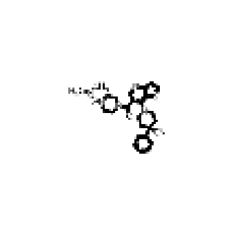 CN(C)SN1CCN(C(=O)c2cnc3ccsc3c2N2CCC(C#N)(c3ccccc3)CC2)CC1